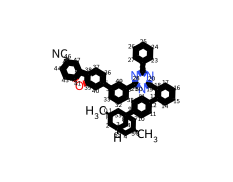 C[C@@H]1C[C@@H]2C[C@H](C)CC(c3ccc(-c4ccccc4-c4nc(-c5ccccc5)nc(-c5cccc(-c6ccc7c(c6)oc6ccc(C#N)cc67)c5)n4)cc3)(C1)C2